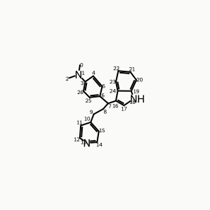 CN(C)c1ccc(C(CCc2ccncc2)c2c[nH]c3ccccc23)cc1